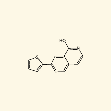 Oc1nccc2ccc(-c3cccs3)cc12